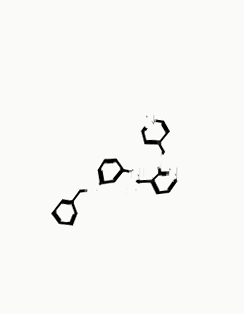 O=C(Nc1cccc(OCc2ccccc2)c1)c1cccnc1SCc1ccncc1